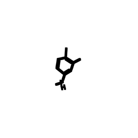 CPc1ccc(C)c(C)c1